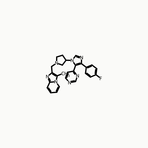 Cc1c(CN2CCC(n3cnc(-c4ccc(F)cc4)c3-c3ccncn3)C2)nc2ccccn12